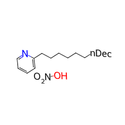 CCCCCCCCCCCCCCCCc1ccccn1.O=[N+]([O-])O